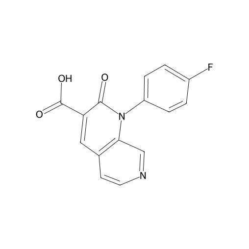 O=C(O)c1cc2ccncc2n(-c2ccc(F)cc2)c1=O